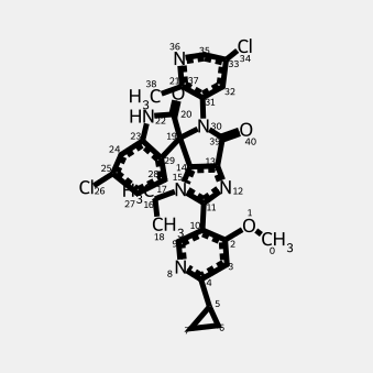 COc1cc(C2CC2)ncc1-c1nc2c(n1C(C)C)C1(C(=O)Nc3cc(Cl)ccc31)N(c1cc(Cl)cnc1C)C2=O